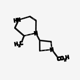 CC1CNCCN1C1CN(C(=O)O)C1